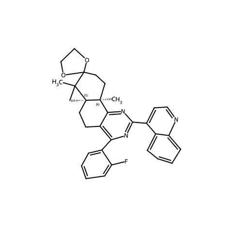 CC12C[C@]13CCc1c(-c4ccccc4F)nc(-c4ccnc5ccccc45)nc1[C@]3(C)CCC21OCCO1